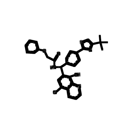 CC(C)(C)c1csc(-c2ccc(C(NC(=O)COc3ccccc3)c3cc(Cl)c4cccnc4c3O)cc2)n1